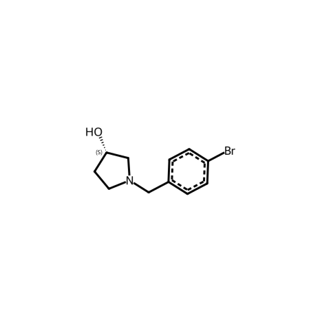 O[C@H]1CCN(Cc2ccc(Br)cc2)C1